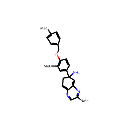 CNc1cnc2c(n1)=CC(N)(c1ccc(OCc3ccc(OC)cc3)c(OC)c1)CC=2